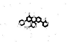 NC1=NC2(COC1)c1cc(-c3cccnc3F)ccc1Oc1c(F)cc(N3CCOCC3)cc12